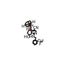 N#Cc1cnc(NCc2ccccc2OC(F)F)nc1NC[C@]12CC3C[C@H](C1)[C@@H](NC[C@H]1CC[C@@H](O)CC1)[C@@H](C3)C2